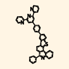 c1ccc(-c2nc3ccccc3c3c2ccc2c4cc(-c5ccc(-c6cc(-c7ccccn7)nc(-c7ccccn7)c6)cc5)ccc4sc23)cc1